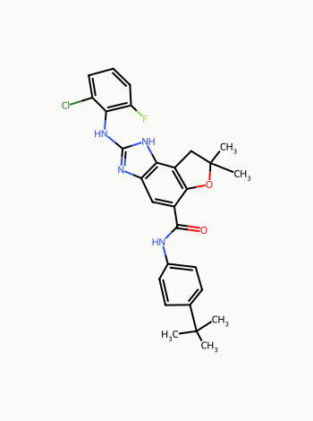 CC1(C)Cc2c(c(C(=O)Nc3ccc(C(C)(C)C)cc3)cc3nc(Nc4c(F)cccc4Cl)[nH]c23)O1